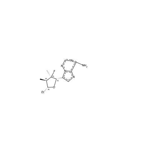 CC[C@H]1O[C@@H](c2cnc3c(N)ncnn23)[C@](C)(F)[C@@H]1C